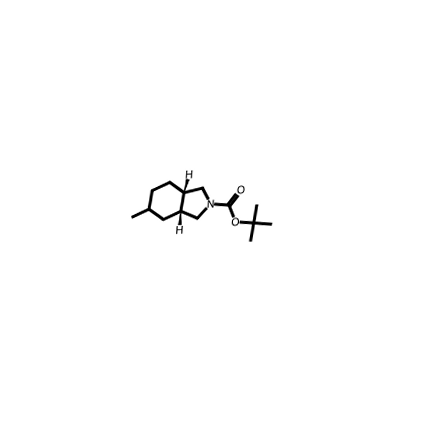 CC1CC[C@@H]2CN(C(=O)OC(C)(C)C)C[C@@H]2C1